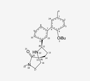 Cc1ccc(OCC(C)C)c(-c2cccc([C@H]3CC[C@]4(CCN(C)C4=O)N3)c2)c1